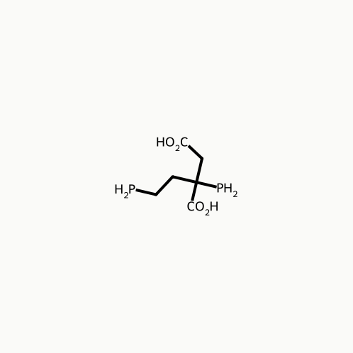 O=C(O)CC(P)(CCP)C(=O)O